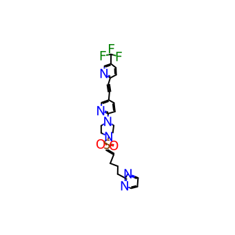 O=S(=O)(C=CCCCc1ncccn1)N1CCN(c2ccc(C#Cc3ccc(C(F)(F)F)cn3)cn2)CC1